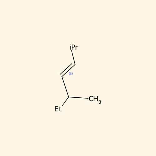 [CH2]C(C)/C=C/C(C)CC